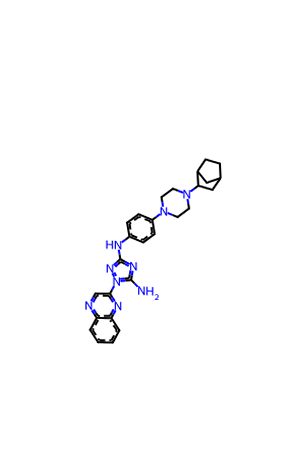 Nc1nc(Nc2ccc(N3CCN(C4CC5CCC4C5)CC3)cc2)nn1-c1cnc2ccccc2n1